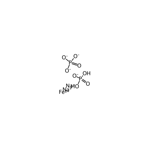 O=P([O-])(O)O.O=P([O-])([O-])[O-].[Fe+2].[Na+].[Na+]